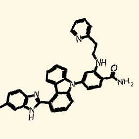 NC(=O)c1ccc(-n2c3ccccc3c3c(-c4nc5ccc(F)cc5[nH]4)cccc32)cc1NCCc1ccccn1